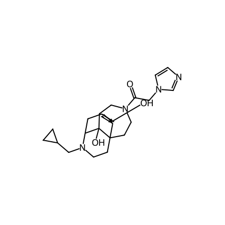 O=C(Cn1ccnc1)N1CCC23CCN(CC4CC4)C(Cc4ccc(O)cc42)C3(O)CC1